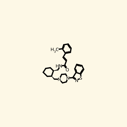 Cc1ccccc1/C=C/C(=O)NC[C@@H]1CCCC[C@@H]1CN1CCN(c2nsc3ccccc23)CC1